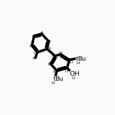 Cc1ccccc1-c1cc(C(C)(C)C)c(O)c(C(C)(C)C)c1